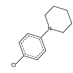 Clc1ccc(N2C[CH]CCC2)cc1